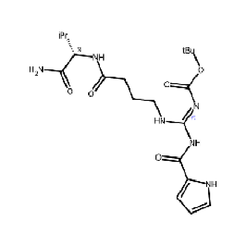 CC(C)[C@H](NC(=O)CCCN/C(=N\C(=O)OC(C)(C)C)NC(=O)c1ccc[nH]1)C(N)=O